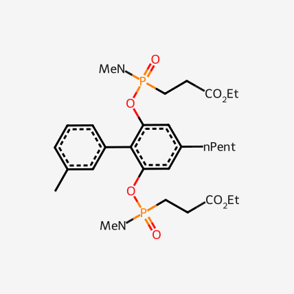 CCCCCc1cc(OP(=O)(CCC(=O)OCC)NC)c(-c2cccc(C)c2)c(OP(=O)(CCC(=O)OCC)NC)c1